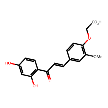 COc1cc(C=CC(=O)c2ccc(O)cc2O)ccc1OCC(=O)O